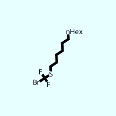 CCCCCCCCCCCCSC(F)(F)Br